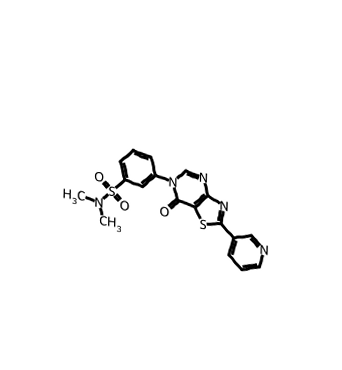 CN(C)S(=O)(=O)c1cccc(-n2cnc3nc(-c4cccnc4)sc3c2=O)c1